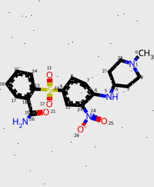 CN1CCC(Nc2ccc(S(=O)(=O)c3ccccc3C(N)=O)cc2[N+](=O)[O-])CC1